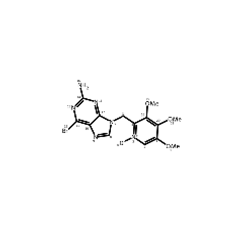 COc1c[n+]([O-])c(Cn2cnc3c(Br)nc(N)nc32)c(OC)c1OC